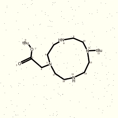 CC(C)(C)OC(=O)CN1CCNCCN(C(C)(C)C)CCNCC1